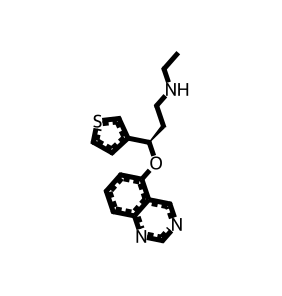 CCNCC[C@@H](Oc1cccc2ncncc12)c1ccsc1